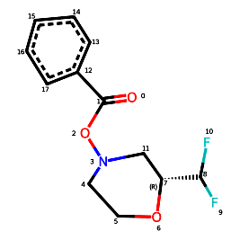 O=C(ON1CCO[C@@H](C(F)F)C1)c1ccccc1